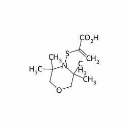 C=C(SN1C(C)(C)COCC1(C)C)C(=O)O